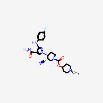 CN1CCC(OC(=O)N2CC[C@H](n3cc(C(N)=O)c(Nc4ccc(F)cc4)n3)[C@@H](C#N)C2)CC1